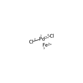 [Cl][Pd+2][Cl].[Fe+2]